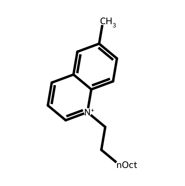 CCCCCCCCCC[n+]1cccc2cc(C)ccc21